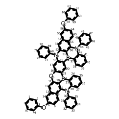 c1ccc(Oc2ccc3c4c5c(cc3c2)Oc2cc3c(cc2B5c2ccccc2N4c2ccccc2)B2c4ccccc4N(c4ccccc4)c4c2c(cc2cc(Oc5ccccc5)ccc42)N3c2ccccc2)cc1